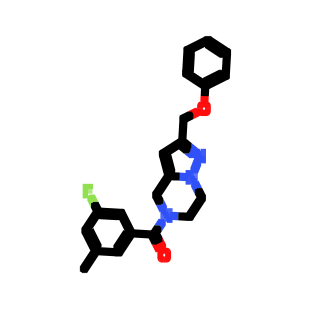 Cc1cc(F)cc(C(=O)N2CCn3nc(COc4ccccc4)cc3C2)c1